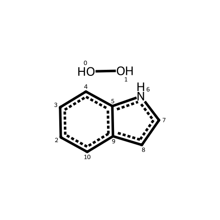 OO.c1ccc2[nH]ccc2c1